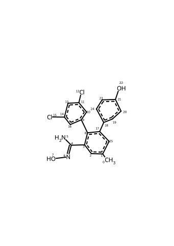 Cc1cc(/C(N)=N/O)c(-c2cc(Cl)cc(Cl)c2)c(-c2ccc(O)cc2)c1